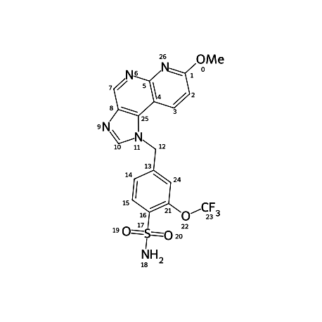 COc1ccc2c(ncc3ncn(Cc4ccc(S(N)(=O)=O)c(OC(F)(F)F)c4)c32)n1